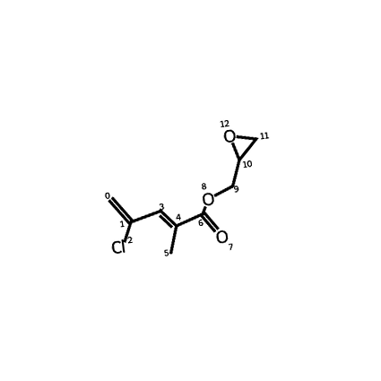 C=C(Cl)C=C(C)C(=O)OCC1CO1